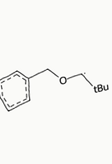 CC(C)(C)[CH]OCc1ccccc1